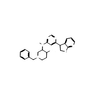 CC1CCN(Cc2ccccc2)CC1N(C)c1cc(C2CNc3ncccc32)ncn1